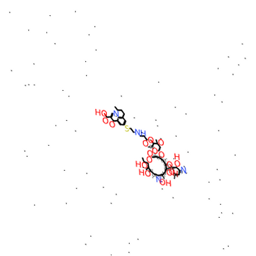 CCC1OC(=O)[C@H](C)[C@@H](OC2CC(C)(OC)C(OC(=O)CCNCCSc3cc4c5c(c3)c(=O)c(C(=O)O)cn5C(C)CC4)[C@H](C)O2)[C@H](C)[C@@H](O[C@@H]2O[C@H](C)C[C@H](N(C)C)C2O)[C@](C)(O)C[C@@H](C)/C(=N\O)[C@H](C)[C@@H](O)C1(C)O